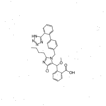 CCCCc1nc(Cl)c(C(OC)c2ccccc2C(=O)O)n1Cc1ccc(-c2ccccc2-c2nnn[nH]2)cc1